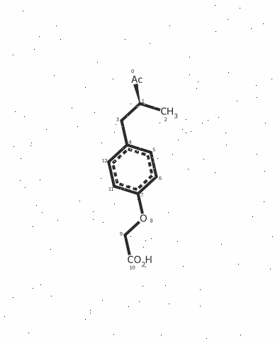 CC(=O)[C@@H](C)Cc1ccc(OCC(=O)O)cc1